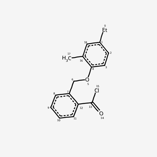 CCc1ccc(OCc2ccccc2C(=O)Cl)c(C)c1